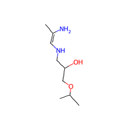 CC(N)=CNCC(O)COC(C)C